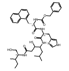 CCC(C)[C@@H](CO)NC(=O)CC(S)C(CC(C)C)NC(=O)[C@H](Cc1c[nH]cn1)NC(=O)[C@H](Cc1cccc2ccccc12)NC(=O)OCc1ccccc1